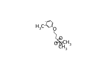 Cc1[c]ccc(OCCCS(=O)(=O)N(C)C)c1